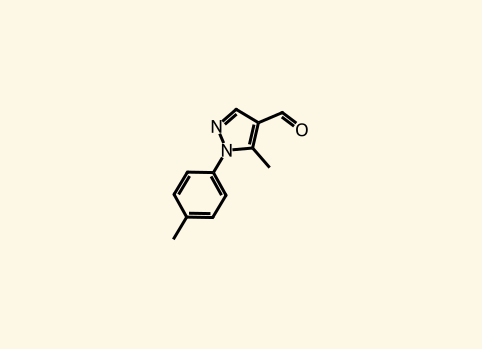 Cc1ccc(-n2ncc(C=O)c2C)cc1